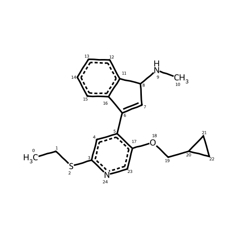 CCSc1cc(C2=CC(NC)c3ccccc32)c(OCC2CC2)cn1